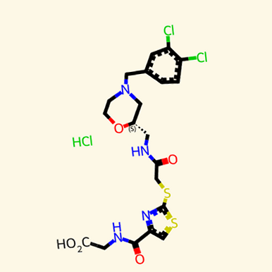 Cl.O=C(O)CNC(=O)c1csc(SCC(=O)NC[C@H]2CN(Cc3ccc(Cl)c(Cl)c3)CCO2)n1